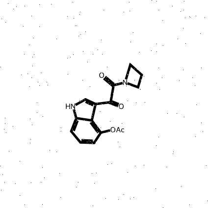 CC(=O)Oc1cccc2[nH]cc(C(=O)C(=O)N3CCC3)c12